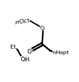 CCCCCCCCOC(=O)CCCCCCC.CCO